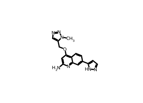 Cn1nncc1COc1cc(N)nc2cc(-c3ccn[nH]3)ccc12